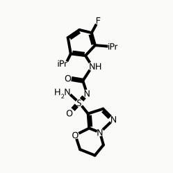 CC(C)c1ccc(F)c(C(C)C)c1NC(=O)N=S(N)(=O)c1cnn2c1OCCC2